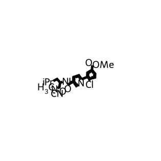 COC(=O)c1ccc(Cl)c(-c2ccc(C(=O)NC(CC(C)C)C(=O)N(C)C#N)cn2)c1